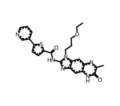 CCOCCCn1c(NC(=O)c2ccc(-c3cccnc3)s2)nc2cc3[nH]c(=O)c(C)nc3cc21